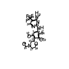 CNc1nc(Nc2cc(OC)c(C3CN(C=O)CCO3)c(OC)c2F)ncc1C(F)(F)F